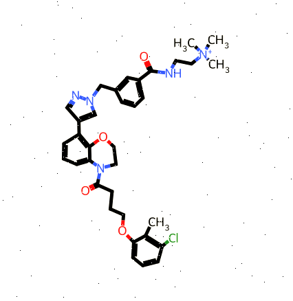 Cc1c(Cl)cccc1OCCCC(=O)N1CCOc2c(-c3cnn(Cc4cccc(C(=O)NCC[N+](C)(C)C)c4)c3)cccc21